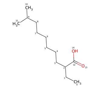 CCC(CCCCCCC(C)C)C(=O)O